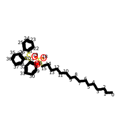 CCCCCCCCCCCCCCCCS(=O)(=O)OS(c1ccccc1)(c1ccccc1)c1ccccc1